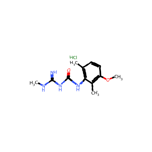 CNC(=N)NC(=O)Nc1c(C)ccc(OC)c1C.Cl